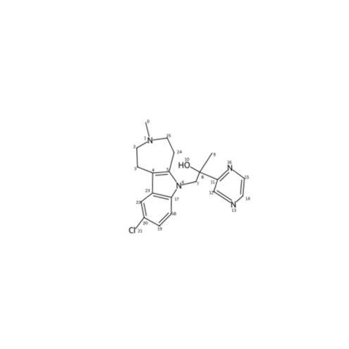 CN1CCc2c(n(CC(C)(O)c3cnccn3)c3ccc(Cl)cc23)CC1